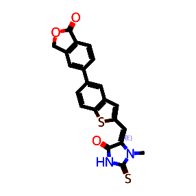 CN1C(=S)NC(=O)/C1=C\c1cc2cc(-c3ccc4c(c3)COC4=O)ccc2s1